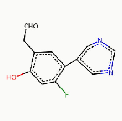 O=CCc1cc(-c2cncnc2)c(F)cc1O